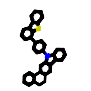 c1ccc2c(c1)CCc1cc3c4ccccc4n(-c4ccc(-c5cccc6c5sc5ccccc56)cc4)c3cc1-2